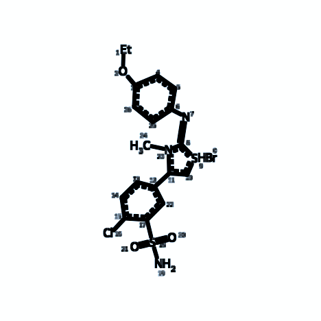 Br.CCOc1ccc(N=c2scc(-c3ccc(Cl)c(S(N)(=O)=O)c3)n2C)cc1